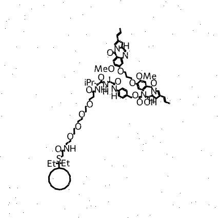 C/C=C/C1=CN2C(=O)c3cc(OC)c(OCCCOc4cc5c(cc4OC)C(=O)N4C=C(/C=C/C)C[C@H]4[C@H](O)N5C(=O)OCc4ccc(NC(=O)[C@H](C)NC(=O)[C@@H](NC(=O)CCOCCOCCOCCOCCNC(=O)CSC(CC)(CC)C5CCCCCCCCCCCCC5)C(C)C)cc4)cc3N=C[C@@H]2C1